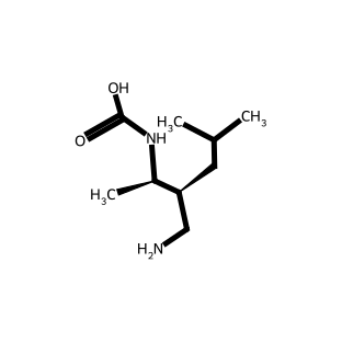 CC(C)C[C@@H](CN)[C@@H](C)NC(=O)O